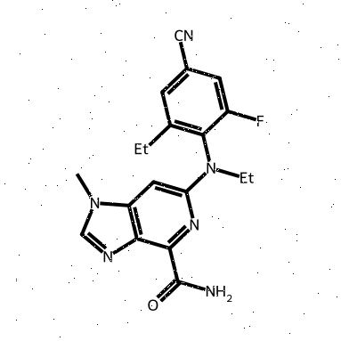 CCc1cc(C#N)cc(F)c1N(CC)c1cc2c(ncn2C)c(C(N)=O)n1